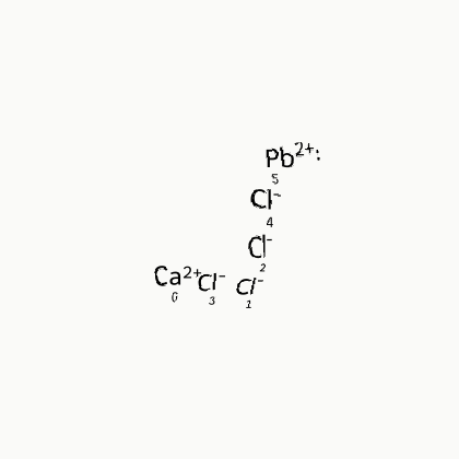 [Ca+2].[Cl-].[Cl-].[Cl-].[Cl-].[Pb+2]